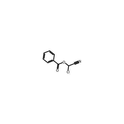 N#CC(Cl)OC(=O)c1ccccc1